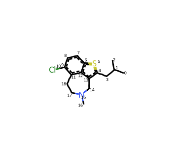 CC(C)Cc1sc2ccc(Cl)c3c2c1CN(C)CC3